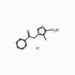 CCOC(=O)c1sc[n+](CC(=O)c2ccccc2)c1C.[Cl-]